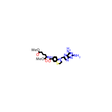 COC(=O)CCCC(NC(=O)c1ccc2c(c1)SCCN2Cc1cnc2nc(N)nc(N)c2n1)C(=O)OC